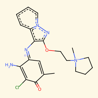 CC1=C/C(=N\c2c(OCC[N+]3(C)CCCC3)nn3ccccc23)C(N)=C(Cl)C1=O